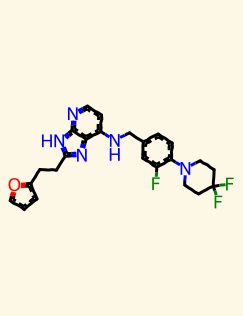 Fc1cc(CNc2ccnc3[nH]c(CCc4ccco4)nc23)ccc1N1CCC(F)(F)CC1